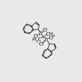 C[C](C)([Zr]([Cl])([Cl])[CH]1C=Cc2ccccc21)[Zr]([Cl])([Cl])[CH]1C=Cc2ccccc21